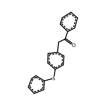 O=C(Cc1ccc(Sc2ccccc2)cc1)c1ccccc1